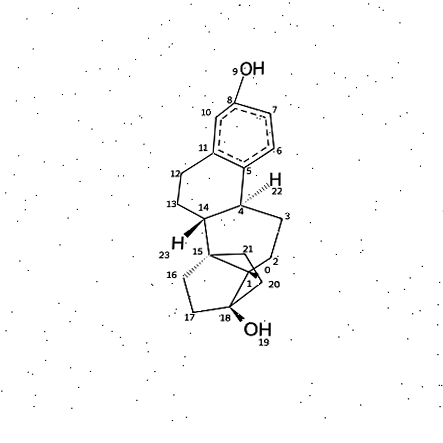 C[C@]12CC[C@@H]3c4ccc(O)cc4CC[C@H]3[C@]13CC[C@@]2(O)CC3